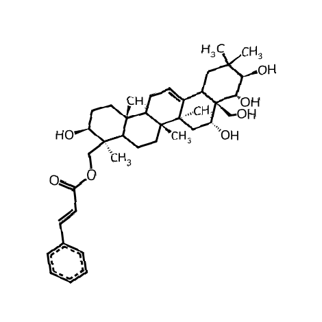 CC1(C)CC2C3=CCC4[C@@]5(C)CC[C@H](O)[C@](C)(COC(=O)/C=C/c6ccccc6)C5CC[C@@]4(C)[C@]3(C)C[C@@H](O)[C@@]2(CO)[C@@H](O)[C@@H]1O